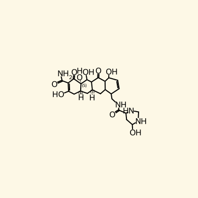 NC(=O)C1=C(O)C[C@@H]2C[C@@H]3CC4C(CNC(=O)C5CC(O)NCN5)C=CC(O)C4C(=O)C3C(O)[C@]2(O)C1=O